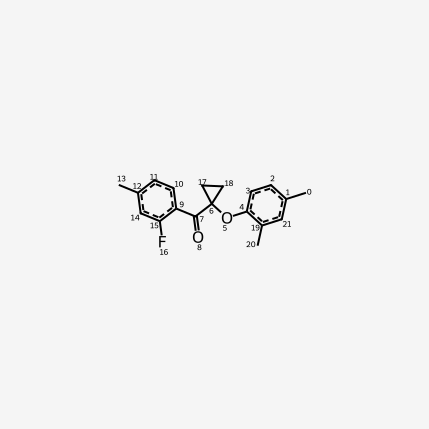 Cc1ccc(OC2(C(=O)c3ccc(C)cc3F)CC2)c(C)c1